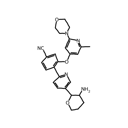 Cc1cc(Oc2cc(C#N)ccc2-c2ccc(C3OCCCC3N)cn2)cc(N2CCOCC2)n1